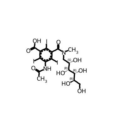 CC(=O)Nc1c(I)c(C(=O)O)c(I)c(C(=O)N(C)C[C@H](O)[C@@H](O)[C@H](O)[C@H](O)CO)c1I